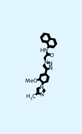 COC1C=C(c2cn(CC(=O)Nc3cccc4ccccc34)nn2)C=CC1n1cnc(C)c1